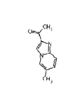 CC(=O)c1cn2cc(C)ccc2n1